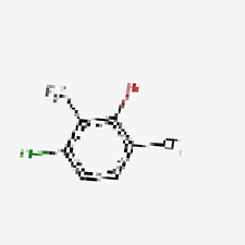 FC(F)(F)c1ccc(Cl)c(C(F)(F)F)c1Br